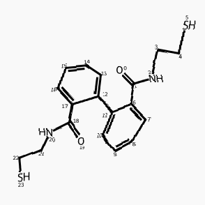 O=C(NCCS)c1ccccc1-c1ccccc1C(=O)NCCS